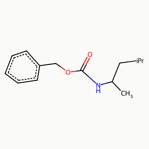 CC(C)CC(C)NC(=O)OCc1ccccc1